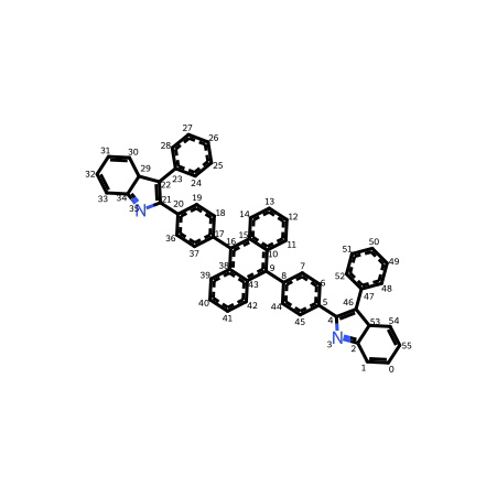 C1=CC2=NC(c3ccc(-c4c5ccccc5c(-c5ccc(C6=C(c7ccccc7)C7C=CC=CC7=N6)cc5)c5ccccc45)cc3)=C(c3ccccc3)C2C=C1